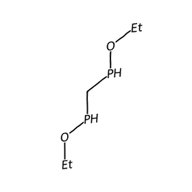 CCOPCPOCC